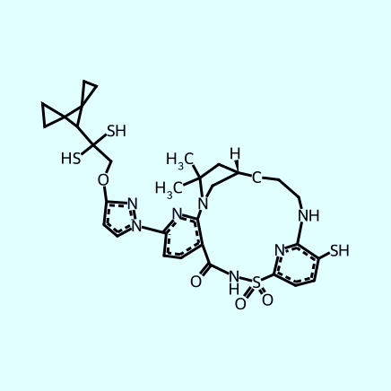 CC1(C)C[C@@H]2CCCNc3nc(ccc3S)S(=O)(=O)NC(=O)c3ccc(-n4ccc(OCC(S)(S)C5C6(CC6)C56CC6)n4)nc3N1C2